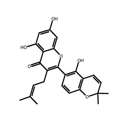 CC(C)=CCc1c(-c2ccc3c(c2O)C=CC(C)(C)O3)oc2cc(O)cc(O)c2c1=O